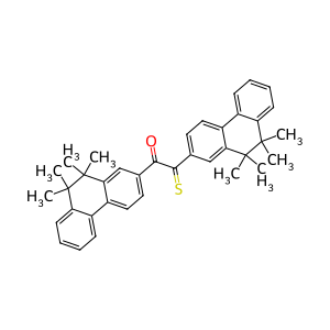 CC1(C)c2ccccc2-c2ccc(C(=O)C(=S)c3ccc4c(c3)C(C)(C)C(C)(C)c3ccccc3-4)cc2C1(C)C